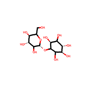 OCC1O[C@H](OC2C(O)[C@H](O)[C@@H](O)C(O)[C@@H]2O)C(O)[C@H](O)[C@H]1O